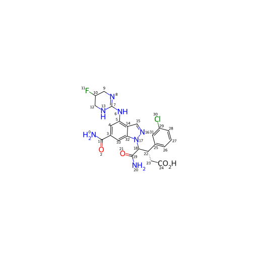 NC(=O)c1cc(NC2=NCC(F)CN2)c2cnn(C(C(N)=O)[C@@H](CC(=O)O)c3cccc(Cl)c3)c2c1